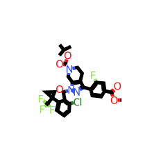 COC(=O)c1ccc(-c2nn(C(=O)c3c(Cl)cccc3C3(C(F)(F)F)CC3)c3c2CCN(C(=O)OC(C)(C)C)C3)c(F)c1